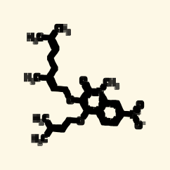 CC(C)=CCCC(C)=CCOc1c(OCC=C(C)C)c2ccc([N+](=O)[O-])cc2n(C)c1=O